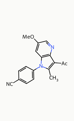 COc1cnc2c(C(C)=O)c(C)n(-c3ccc(C#N)cc3)c2c1